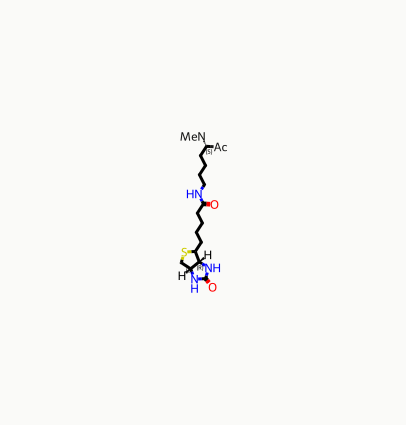 CN[C@@H](CCCCNC(=O)CCCCC1SC[C@H]2NC(=O)N[C@@H]12)C(C)=O